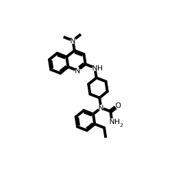 CCc1ccccc1N(C(N)=O)C1CCC(Nc2cc(N(C)C)c3ccccc3n2)CC1